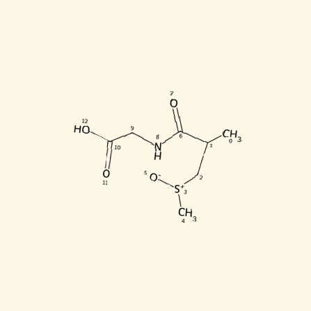 CC(C[S+](C)[O-])C(=O)NCC(=O)O